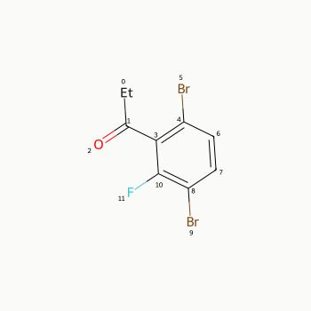 CCC(=O)c1c(Br)ccc(Br)c1F